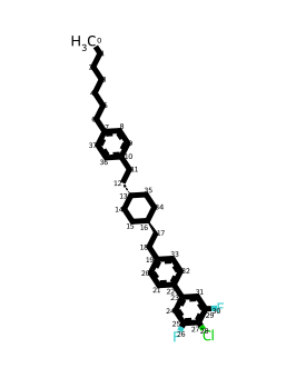 CCCCCCCc1ccc(CC[C@H]2CC[C@H](CCc3ccc(-c4cc(F)c(Cl)c(F)c4)cc3)CC2)cc1